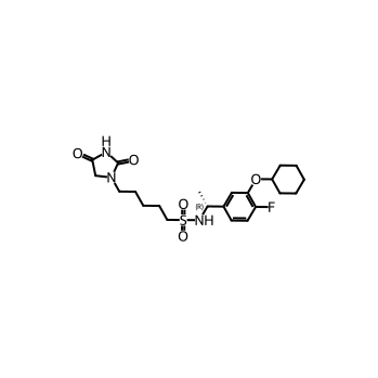 C[C@@H](NS(=O)(=O)CCCCCN1CC(=O)NC1=O)c1ccc(F)c(OC2CCCCC2)c1